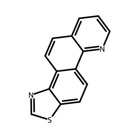 c1cnc2c(c1)ccc1c2ccc2scnc21